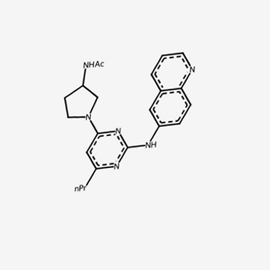 CCCc1cc(N2CCC(NC(C)=O)C2)nc(Nc2ccc3ncccc3c2)n1